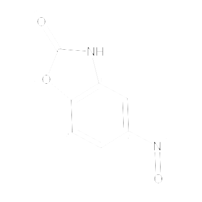 O=Nc1ccc2oc(=O)[nH]c2c1